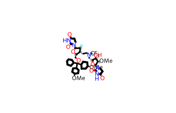 COc1ccc(C(OC[C@H]2O[C@@H](n3ccc(=O)[nH]c3=O)[C@H](F)[C@@H]2CCN(C[C@H]2O[C@@H](n3ccc(=O)[nH]c3=O)[C@H](OC)[C@@H]2O)C(F)(F)F)(c2ccccc2)c2ccc(OC)cc2)cc1